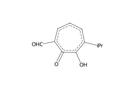 CC(C)c1cccc(C=O)c(=O)c1O